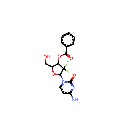 Nc1ccn(C2OC(CO)C(OC(=O)c3ccccc3)C2(F)F)c(=O)n1